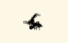 CC(c1ccccc1)C(NC(=O)[C@H](NC(=O)OC(C)(C)C)c1ccc(OCCOC(C)(C)C)cc1)c1nc(Cl)c(-c2ccc(I)cc2F)[nH]1